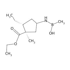 CCOC(=O)[C@]1(C)CC(NB(C)O)C[C@H]1CC